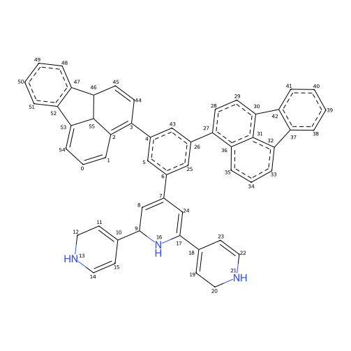 C1=CC2=C(c3cc(C4=CC(C5=CCNC=C5)NC(C5=CCNC=C5)=C4)cc(-c4ccc5c6c(cccc46)-c4ccccc4-5)c3)C=CC3c4ccccc4C(=C1)C23